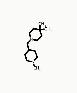 CN1CCC(CN2CCC(C)(C)CC2)CC1